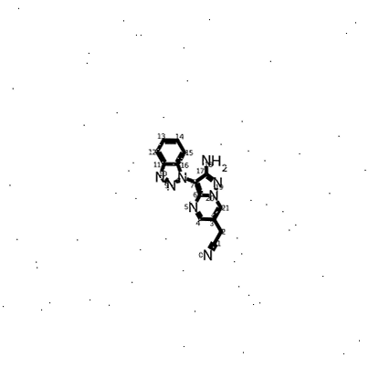 N#CCc1cnc2c(-n3nnc4ccccc43)c(N)nn2c1